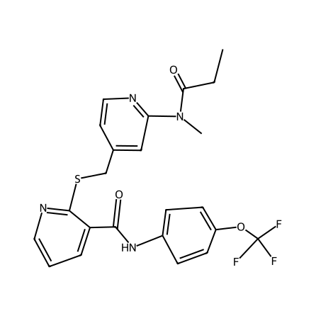 CCC(=O)N(C)c1cc(CSc2ncccc2C(=O)Nc2ccc(OC(F)(F)F)cc2)ccn1